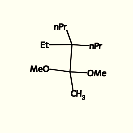 CCCC(CC)(CCC)C(C)(OC)OC